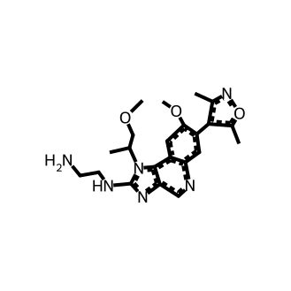 COCC(C)n1c(NCCN)nc2cnc3cc(-c4c(C)noc4C)c(OC)cc3c21